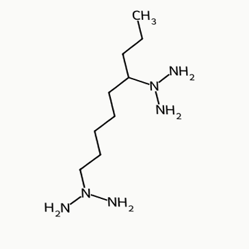 CCCC(CCCCCN(N)N)N(N)N